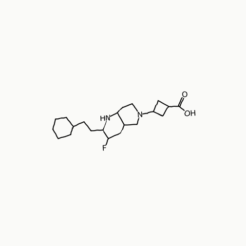 O=C(O)C1CC(N2CCC3NC(CCC4CCCCC4)C(F)CC3C2)C1